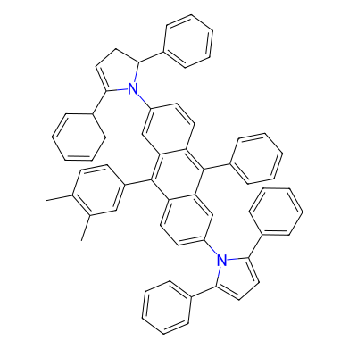 Cc1ccc(-c2c3ccc(-n4c(-c5ccccc5)ccc4-c4ccccc4)cc3c(-c3ccccc3)c3ccc(N4C(C5C=CC=CC5)=CCC4c4ccccc4)cc23)cc1C